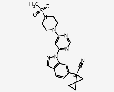 CS(=O)(=O)N1CCN(c2cc(-n3ncc4ccc([C@]5(C#N)CC56CC6)cc43)ncn2)CC1